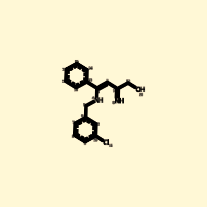 N=C(/C=C(\NCc1cccc(Cl)c1)c1ccccc1)CO